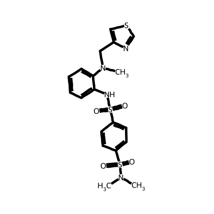 CN(Cc1cscn1)c1ccccc1NS(=O)(=O)c1ccc(S(=O)(=O)N(C)C)cc1